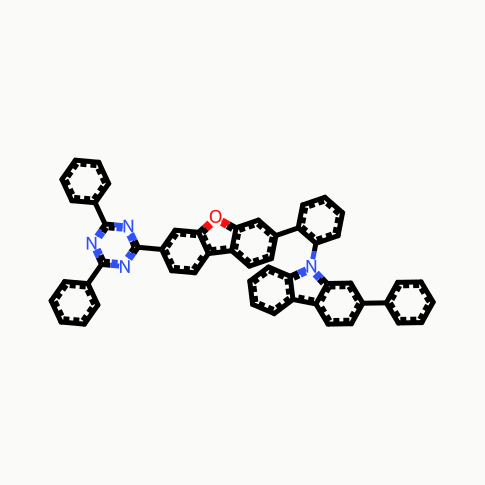 c1ccc(-c2ccc3c4ccccc4n(-c4ccccc4-c4ccc5c(c4)oc4cc(-c6nc(-c7ccccc7)nc(-c7ccccc7)n6)ccc45)c3c2)cc1